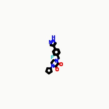 O=C1C(=O)N(C2CCCC2)CCN1Cc1ccc(-c2cn[nH]c2)cc1F